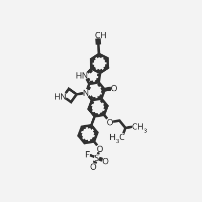 C#Cc1ccc2c(c1)[nH]c1c2c(=O)c2cc(OCC(C)C)c(-c3cccc(OS(=O)(=O)F)c3)cc2n1C1CNC1